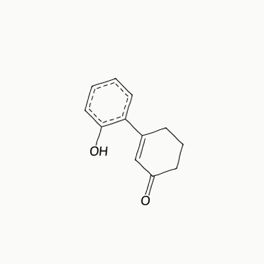 O=C1C=C(c2ccccc2O)CCC1